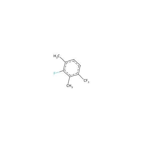 Cc1ccc(C(F)(F)F)c(C)c1F